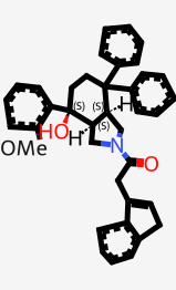 COc1ccccc1[C@]1(O)CCC(c2ccccc2)(c2ccccc2)[C@H]2CN(C(=O)CC3=CCc4ccccc43)C[C@H]21